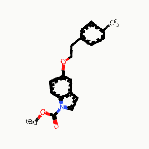 CC(C)(C)OC(=O)n1ccc2cc(OCCc3ccc(C(F)(F)F)cc3)ccc21